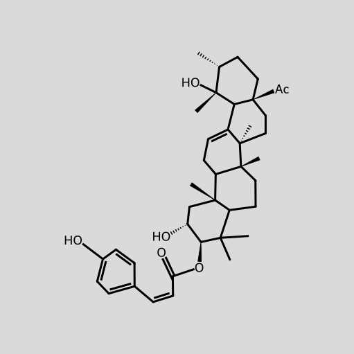 CC(=O)[C@]12CC[C@@H](C)[C@@](C)(O)C1C1=CCC3[C@@]4(C)C[C@@H](O)[C@H](OC(=O)/C=C\c5ccc(O)cc5)C(C)(C)C4CC[C@@]3(C)[C@]1(C)CC2